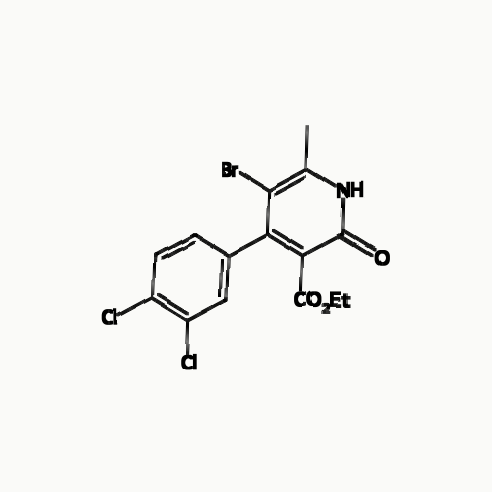 CCOC(=O)c1c(-c2ccc(Cl)c(Cl)c2)c(Br)c(C)[nH]c1=O